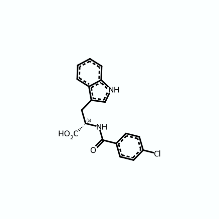 O=C(N[C@@H](Cc1c[nH]c2ccccc12)C(=O)O)c1ccc(Cl)cc1